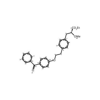 CCOC(=O)[C@H](Cc1ccc(CCOc2ccc(C(=O)c3ccccc3)cc2)cc1)OC